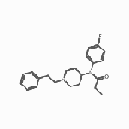 CCC(=O)N(c1ccc(F)cc1)C1CCN(CCc2ccccc2)CC1